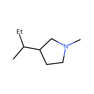 CCC(C)C1CCN(C)C1